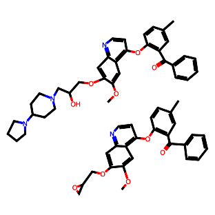 COc1cc2c(Oc3ccc(C)cc3C(=O)c3ccccc3)ccnc2cc1OCC(O)CN1CCC(N2CCCC2)CC1.COc1cc2c(Oc3ccc(C)cc3C(=O)c3ccccc3)ccnc2cc1OCC1CO1